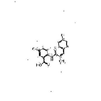 CC(=Cc1ccc(F)cc1)C(=O)Nc1ccc(Cl)cc1C(=O)O